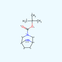 CC(C)(C)OC(=O)N1CC2CCC(C1)NC2